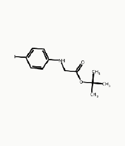 CC(C)(C)OC(=O)CNc1ccc(I)cc1